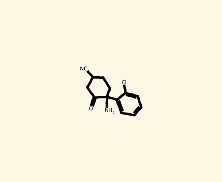 N#CC1CCC(N)(c2ccccc2Cl)C(=O)C1